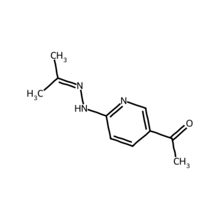 CC(=O)c1ccc(NN=C(C)C)nc1